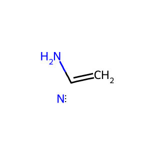 C=CN.[N]